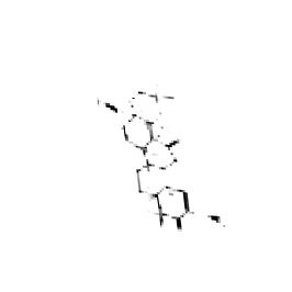 [C-]#[N+]C1=C[C@]2(C)C3CC(=O)[C@@H]4[C@@H]5CC(C)(C)CC[C@]5(C#N)CC[C@@]4(C)[C@]3(C)CC[C@H]2C(C)(C)C1=O